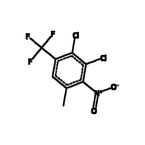 Cc1cc(C(F)(F)F)c(Cl)c(Cl)c1[N+](=O)[O-]